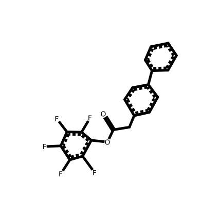 O=C(Cc1ccc(-c2ccccc2)cc1)Oc1c(F)c(F)c(F)c(F)c1F